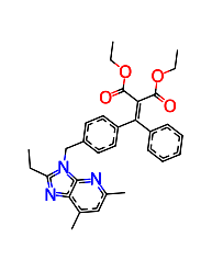 CCOC(=O)C(C(=O)OCC)=C(c1ccccc1)c1ccc(Cn2c(CC)nc3c(C)cc(C)nc32)cc1